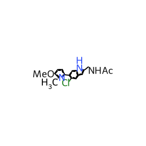 COc1ccc(-c2cc3[nH]c(CNC(C)=O)cc3cc2Cl)nc1C